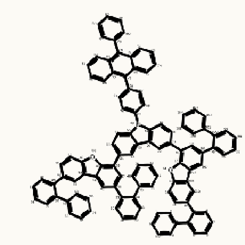 c1ccc(-c2ccccc2-c2ccc3oc4c(-c5ccc6c(c5)c5cc(-c7cc(-c8ccccc8-c8ccccc8)cc8c7oc7ccc(-c9ccccc9-c9ccccc9)cc78)ccc5n6-c5ccc(-c6c7ccccc7c(-c7ccccc7)c7ccccc67)cc5)cc(-c5ccccc5-c5ccccc5)cc4c3c2)cc1